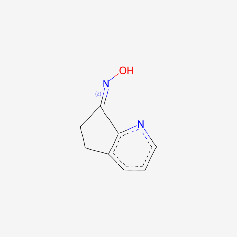 O/N=C1/CCc2cccnc21